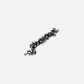 CCCC(C)(CC)C(=O)/C=C/C(=O)OC(C)COc1ccc(C(C)(C)c2ccc(OCC(C)OC(C)CC)cc2)cc1